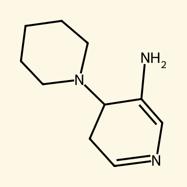 NC1=CN=CCC1N1CCCCC1